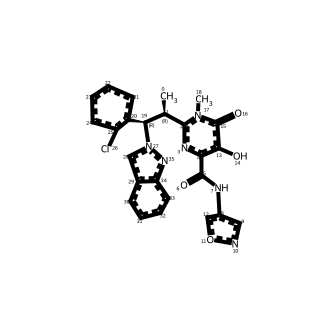 C[C@@H](c1nc(C(=O)Nc2cnoc2)c(O)c(=O)n1C)[C@H](c1ccccc1Cl)n1cc2ccccc2n1